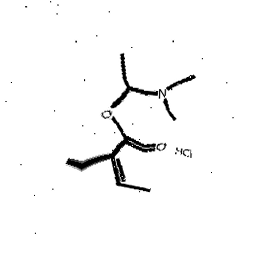 CC=C(C)C(=O)OC(C)N(C)C.Cl